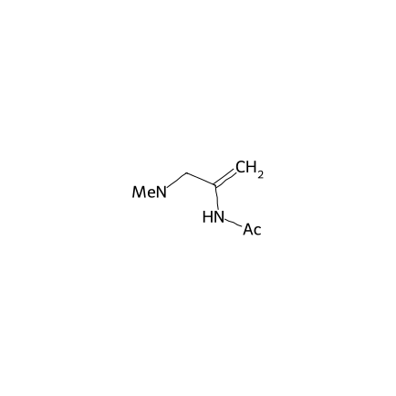 C=C(CNC)NC(C)=O